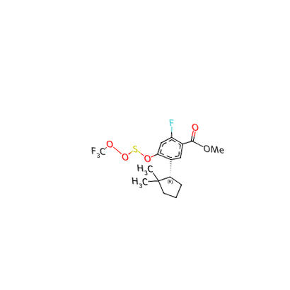 COC(=O)c1cc([C@@H]2CCCC2(C)C)c(OSOOC(F)(F)F)cc1F